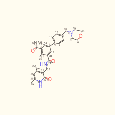 CNC(=O)c1cc(-c2ccc(CN3CCOCC3)cc2)cc(C(=O)NCc2c(C)cc(C)[nH]c2=O)c1C